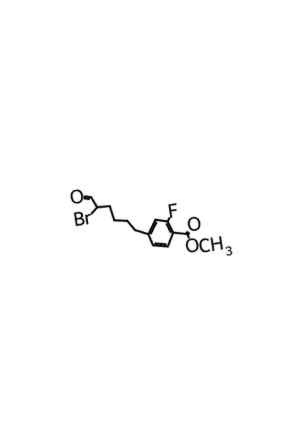 COC(=O)c1ccc(CCCCC(Br)C=O)cc1F